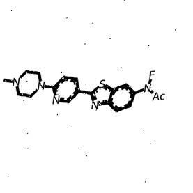 CC(=O)N(F)c1ccc2nc(-c3ccc(N4CCN(C)CC4)nc3)sc2c1